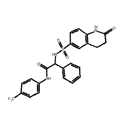 O=C1CCc2cc(S(=O)(=O)NC(C(=O)Nc3ccc(C(F)(F)F)cc3)c3ccccc3)ccc2N1